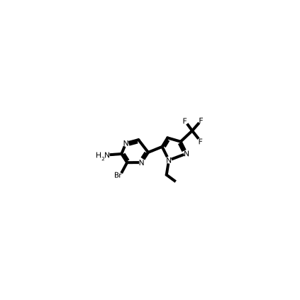 CCn1nc(C(F)(F)F)cc1-c1cnc(N)c(Br)n1